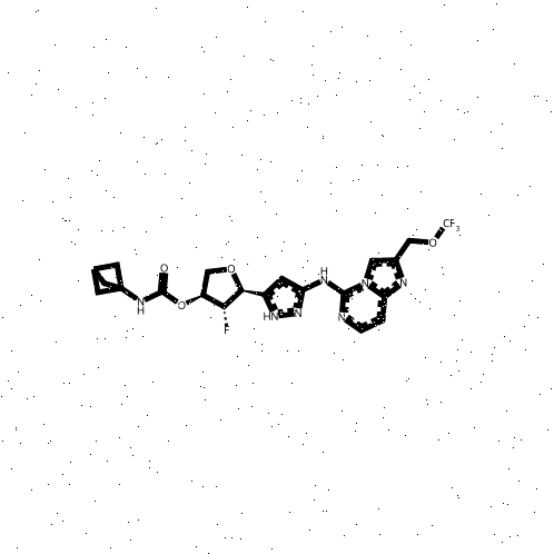 O=C(NC12CC(C1)C2)O[C@H]1CO[C@@H](c2cc(Nc3nccc4nc(COC(F)(F)F)cn34)n[nH]2)[C@@H]1F